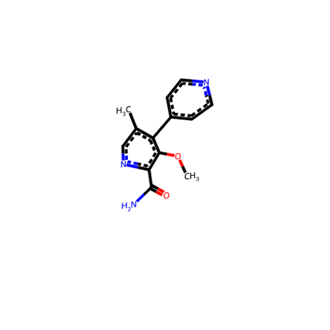 COc1c(C(N)=O)ncc(C)c1-c1ccncc1